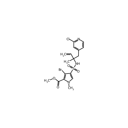 C=CC(C)(Cc1ccnc(Cl)c1)NS(=O)(=O)c1cn(C)c(C(=O)OC)c1Br